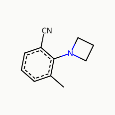 Cc1cccc(C#N)c1N1CCC1